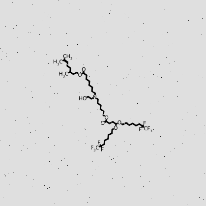 CC(C)=CCCC(C)CCOC(=O)CCCCCCCN(CCO)CCCCCCOC(=O)CCC(OCCCCCCC(F)(F)C(F)(F)F)OCCCCCCC(F)(F)C(F)(F)F